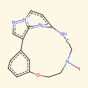 IN1CCNc2ccn3ncc(c3n2)-c2cccc(c2)OCC1